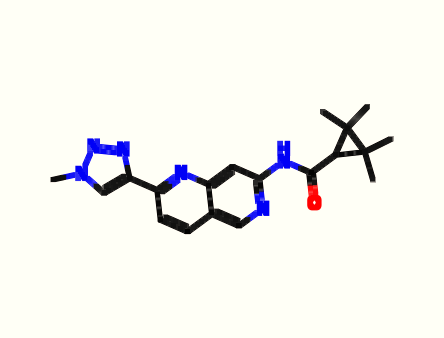 Cn1cc(-c2ccc3cnc(NC(=O)C4C(C)(C)C4(C)C)cc3n2)nn1